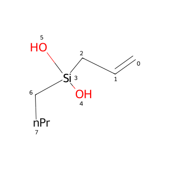 C=CC[Si](O)(O)CCCC